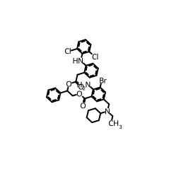 CCN(Cc1cc(Br)c(N)c(C(=O)OCC(OC(=O)Cc2ccccc2Nc2c(Cl)cccc2Cl)c2ccccc2)c1)C1CCCCC1